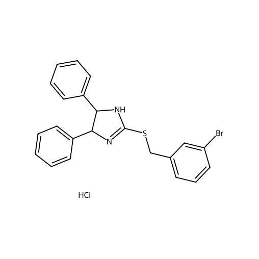 Brc1cccc(CSC2=NC(c3ccccc3)C(c3ccccc3)N2)c1.Cl